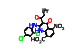 CC(C)CC(=O)c1c(Nc2ccc(Cl)cc2Cl)[nH]c2c(C(=O)O)ccc([N+](=O)[O-])c2c1=O